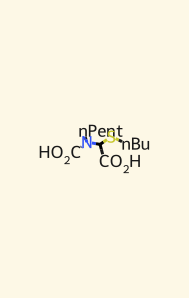 CCCCCN(C(=O)O)C(SCCCC)C(=O)O